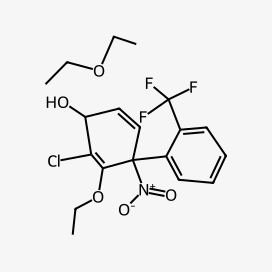 CCOC1=C(Cl)C(O)C=CC1(c1ccccc1C(F)(F)F)[N+](=O)[O-].CCOCC